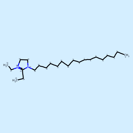 CCCCCCCCCCCCCCCCCN1CC[N+](CC)=C1CC